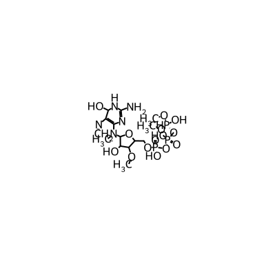 C=NC1=C(N(C)C2OC(COP(=O)(O)OP(=O)(O)O[PH](O)(OC)OC)C(OC)C2O)N=C(N)NC1O